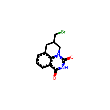 O=c1[nH]c(=O)n2c3c(cccc13)CC(CBr)C2